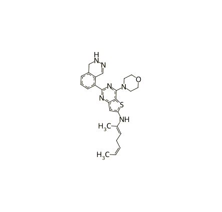 C/C=C\C/C=C(\C)Nc1cc2nc(-c3cccc4c3C=NNC4)nc(N3CCOCC3)c2s1